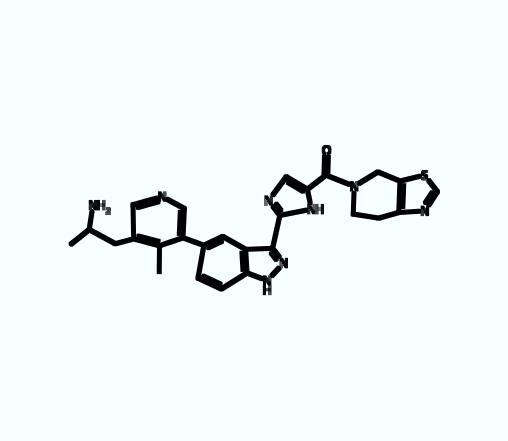 Cc1c(CC(C)N)cncc1-c1ccc2[nH]nc(-c3ncc(C(=O)N4CCc5ncsc5C4)[nH]3)c2c1